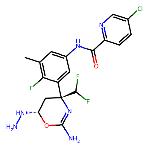 Cc1cc(NC(=O)c2ccc(Cl)cn2)cc([C@@]2(C(F)F)C[C@@H](NN)OC(N)=N2)c1F